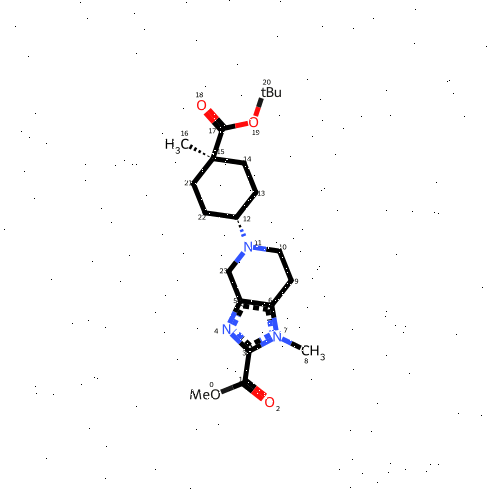 COC(=O)c1nc2c(n1C)CCN([C@H]1CC[C@](C)(C(=O)OC(C)(C)C)CC1)C2